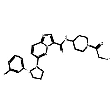 O=C(NC1CCN(C(=O)CO)CC1)c1cnc2ccc(N3CCC[C@@H]3c3cccc(F)c3)nn12